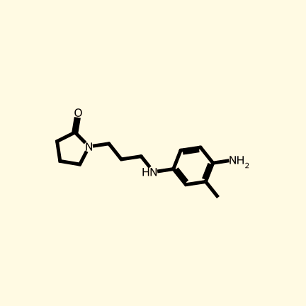 Cc1cc(NCCCN2CCCC2=O)ccc1N